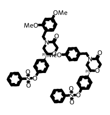 COc1ccc(CN2C[C@@H](c3ccc(OS(=O)(=O)c4ccccc4)cc3)OCC2=O)c(OC)c1.COc1ccc(CN2C[C@@H](c3ccc(OS(=O)(=O)c4ccccc4)cc3)OCC2=O)cc1